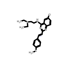 CCN(CC)CCNc1nc(/C=C/c2ccc(SC)cc2)nc2ccc(Cl)cc12